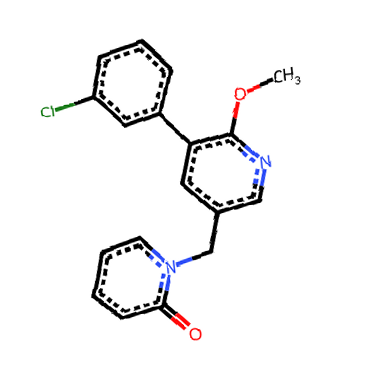 COc1ncc(Cn2ccccc2=O)cc1-c1cccc(Cl)c1